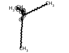 CCCCCCCCCCCCCCCCCCCCCC(=O)OC[C@H](COP(=O)([O-])OCC[N+](C)(C)C)OC(=O)CCCCCCCCCCCCCCCCCC